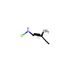 CCC/C(C)=C\NCl